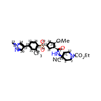 CCOC(=O)N1CCC(C#N)(NC(=O)[C@H]2C[C@H](S(=O)(=O)c3ccc(-c4cnn(C)c4)cc3C(F)(F)F)C[C@H]2OC)CC1